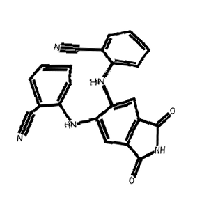 N#Cc1ccccc1Nc1cc2c(cc1Nc1ccccc1C#N)C(=O)NC2=O